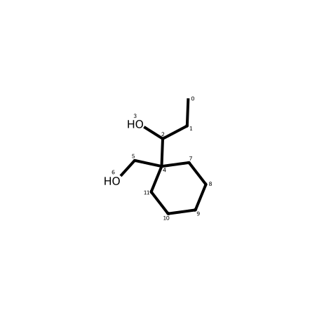 CCC(O)C1(CO)CCCCC1